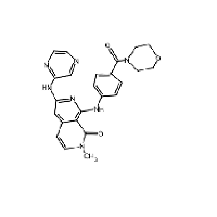 Cn1ccc2cc(Nc3cnccn3)nc(Nc3ccc(C(=O)N4CCOCC4)cc3)c2c1=O